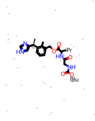 Cc1c(COC(=O)C(NC(=O)CNC(=O)OC(C)(C)C)C(C)C)cccc1[C@H](C)c1c[nH]cn1